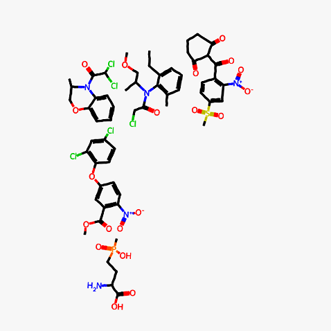 CC1COc2ccccc2N1C(=O)C(Cl)Cl.CCc1cccc(C)c1N(C(=O)CCl)C(C)COC.COC(=O)c1cc(Oc2ccc(Cl)cc2Cl)ccc1[N+](=O)[O-].CP(=O)(O)CCC(N)C(=O)O.CS(=O)(=O)c1ccc(C(=O)C2C(=O)CCCC2=O)c([N+](=O)[O-])c1